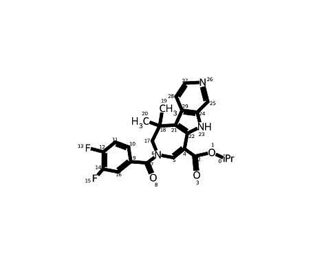 CC(C)OC(=O)C1=CN(C(=O)c2ccc(F)c(F)c2)CC(C)(C)c2c1[nH]c1cnccc21